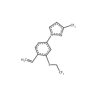 C=Cc1ccc(-n2ccc(C(F)(F)F)n2)cc1SCC(F)(F)F